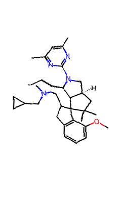 CCCC1C2[C@@H](CN1c1nc(C)cc(C)n1)CC(C)(C)C21c2c(cccc2OC)CC1CN(C)CC1CC1